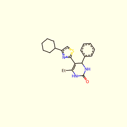 CCC1=C(c2nc(C3CCCCC3)cs2)C(c2ccccc2)NC(=O)N1